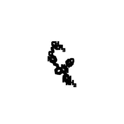 CN(C)CCOc1ccc(CCC2CCCc3c(-c4cnc(N)nc4)nc(N4CCOCC4)nc32)cn1